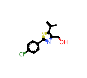 C=C(C)c1sc(-c2ccc(Cl)cc2)nc1CO